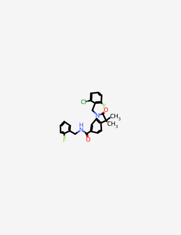 CC1(C)C(=O)N(Cc2c(F)cccc2Cl)c2cc(C(=O)NCc3ccccc3F)ccc21